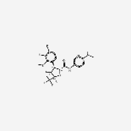 CNc1ccc(NC(=O)[C@@H]2O[C@@](C)(C(F)(F)F)[C@@H](C)[C@H]2c2ccc(F)c(F)c2OC)cn1